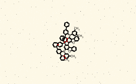 Cc1cc(C)cc(N(c2cc(-c3ccccc3)ccc2-c2ccccc2)c2cc3c(c4c2oc2ccccc24)-c2c(cc(N(c4cc(C)cc(C)c4)c4cc(-c5ccccc5)ccc4-c4ccccc4)c4c2oc2ccccc24)C3(c2ccccc2)c2ccccc2)c1